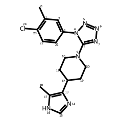 Cc1cc(-n2nnnc2N2CCC(c3nc[nH]c3C)CC2)ccc1Cl